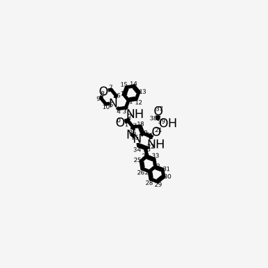 O=C(NC(CN1CCOCC1)c1ccccc1)c1cc2c(=O)[nH]c(-c3ccc4ccccc4c3)cn2n1.O=CO